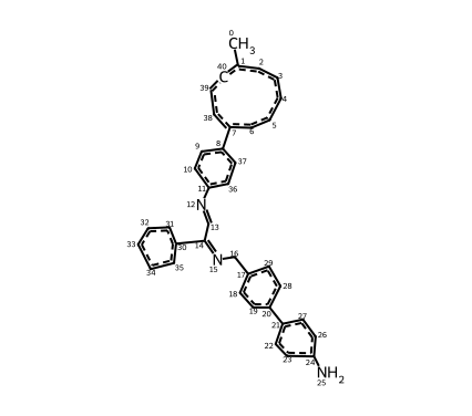 Cc1cccccc(-c2ccc(/N=C/C(=N\Cc3ccc(-c4ccc(N)cc4)cc3)c3ccccc3)cc2)ccc1